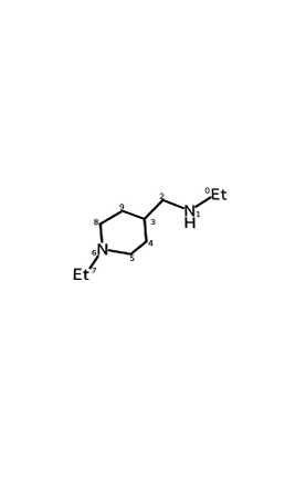 CCNCC1CCN(CC)CC1